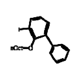 CCCCCCCCOc1c(I)cccc1-c1ccccc1